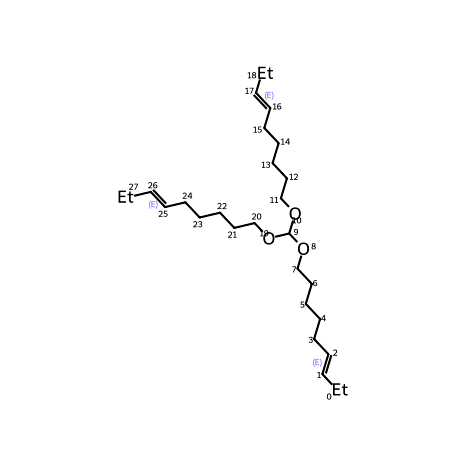 CC/C=C/CCCCCOC(OCCCCC/C=C/CC)OCCCCC/C=C/CC